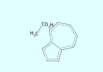 CC(=O)O.c1ccc2cccc-2cc1